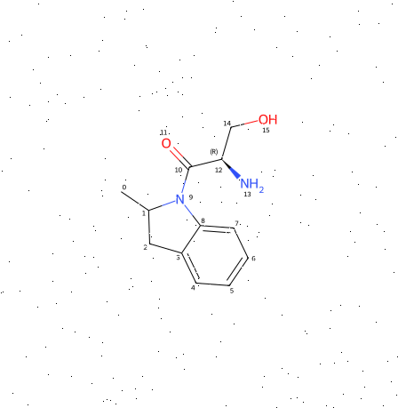 CC1Cc2ccccc2N1C(=O)[C@H](N)CO